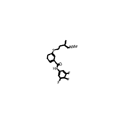 CNCC(C)CCSC1=CC(C(=O)Nc2cc(F)c(F)c(F)c2)=CCC1